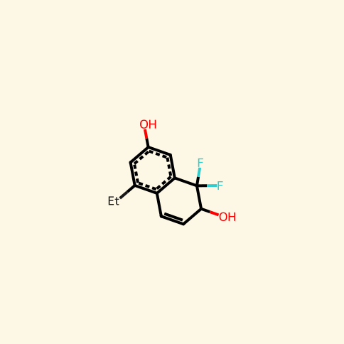 CCc1cc(O)cc2c1C=CC(O)C2(F)F